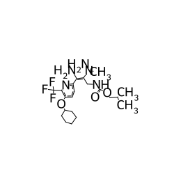 CC(C)COC(=O)NC/C(=C(/N)c1ccc(OC2CCCCC2)c(C(F)(F)F)n1)N(C)N